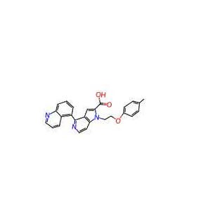 Cc1ccc(OCCn2c(C(=O)O)cc3c(-c4cccc5ncccc45)nccc32)cc1